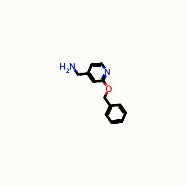 NCc1ccnc(OCc2ccccc2)c1